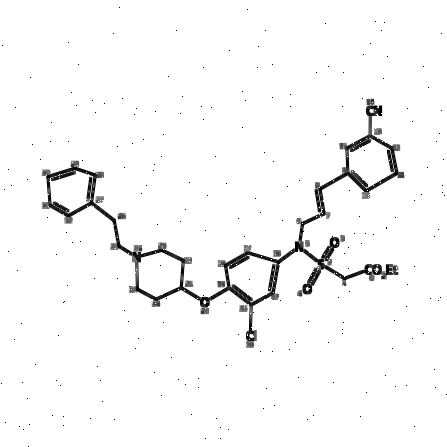 CCOC(=O)CS(=O)(=O)N(C/C=C/c1cccc(C#N)c1)c1ccc(OC2CCN(CCc3ccccc3)CC2)c(Cl)c1